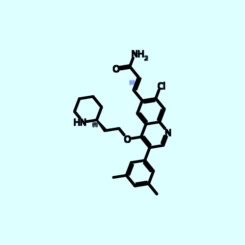 Cc1cc(C)cc(-c2cnc3cc(Cl)c(/C=C/C(N)=O)cc3c2OCC[C@@H]2CCCCN2)c1